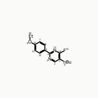 CCCCc1cnc(-c2ccc(OCC)cc2)nc1F